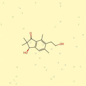 Cc1cc2c(c(C)c1CCO)C(=O)C(C)(C)[C@@H]2O